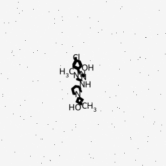 Cc1cc(Cl)cc(O)c1-c1ncc(NC2CCCN(C3CC(C)(O)C3)C2)nn1